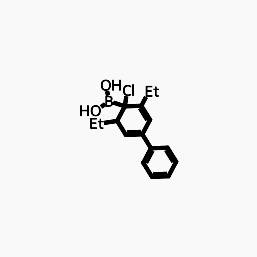 CCC1=CC(c2ccccc2)=CC(CC)C1(Cl)B(O)O